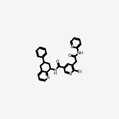 CCc1ncc(C(=O)NC2CC(c3ccccc3)Cc3cccnc32)cc1CC(=O)Nc1ccccn1